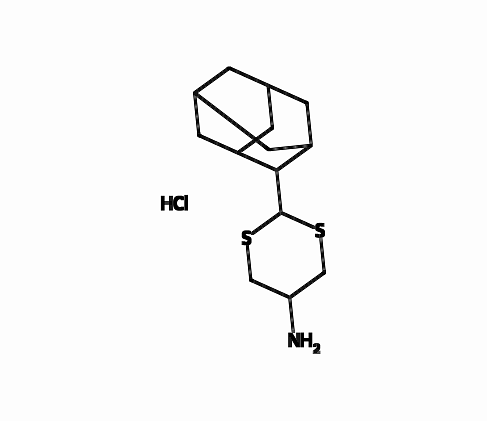 Cl.NC1CSC(C2C3CC4CC(C3)CC2C4)SC1